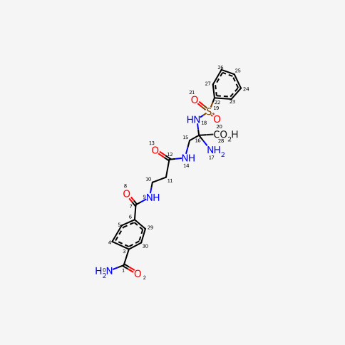 NC(=O)c1ccc(C(=O)NCCC(=O)NCC(N)(NS(=O)(=O)c2ccccc2)C(=O)O)cc1